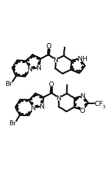 CC1c2[nH]ccc2CCN1C(=O)c1cc2ccc(Br)cn2n1.CC1c2nc(C(F)(F)F)oc2CCN1C(=O)c1cc2ccc(Br)cn2n1